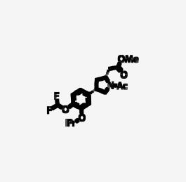 COC(=O)C[C@H]1C[C@@H](c2ccc(OC(F)F)c(OC(C)C)c2)CN1C(C)=O